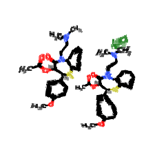 COc1ccc([C@@H]2Sc3ccccc3N(CCN(C)C)C(=O)[C@@H]2OC(C)=O)cc1.COc1ccc([C@@H]2Sc3ccccc3N(CCN(C)C)C(=O)[C@@H]2OC(C)=O)cc1.Cl.Cl